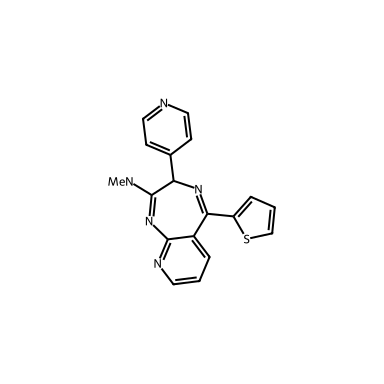 CNC1=Nc2ncccc2C(c2cccs2)=NC1c1ccncc1